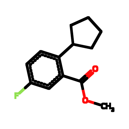 COC(=O)c1cc(F)ccc1C1CCCC1